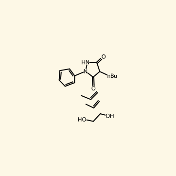 C=CC.C=CC.CCCCC1C(=O)NN(c2ccccc2)C1=O.OCCO